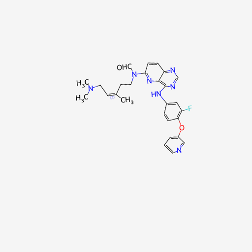 C/C(=C/CN(C)C)CCN(C=O)c1ccc2ncnc(Nc3ccc(Oc4cccnc4)c(F)c3)c2n1